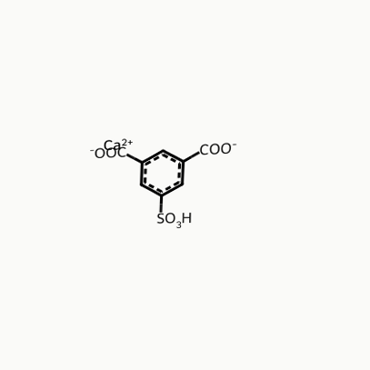 O=C([O-])c1cc(C(=O)[O-])cc(S(=O)(=O)O)c1.[Ca+2]